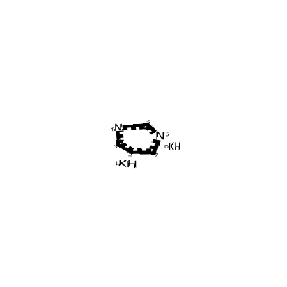 [KH].[KH].c1cncnc1